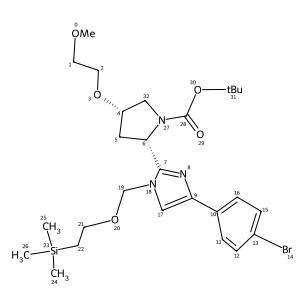 COCCO[C@H]1C[C@@H](c2nc(-c3ccc(Br)cc3)cn2COCC[Si](C)(C)C)N(C(=O)OC(C)(C)C)C1